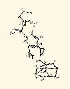 CC(C)c1cc(C(=O)N2CCCC2)c(F)cc1OCC12CC3CC(CP(C3)C1)C2